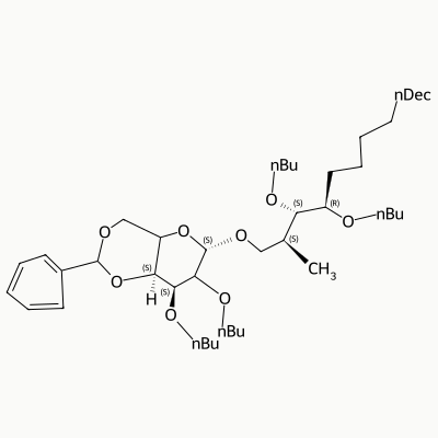 CCCCCCCCCCCCCC[C@@H](OCCCC)[C@@H](OCCCC)[C@@H](C)CO[C@H]1OC2COC(c3ccccc3)O[C@@H]2[C@H](OCCCC)C1OCCCC